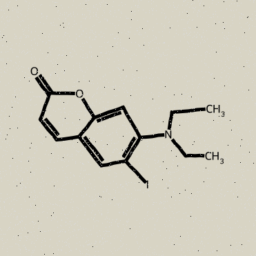 CCN(CC)c1cc2oc(=O)ccc2cc1I